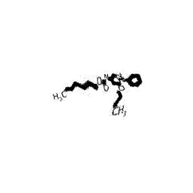 CCCCCCCOC(=O)/N=c1/cnn(-c2ccccc2)c(OCCCC)c1